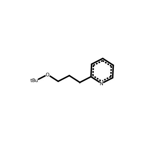 CC(C)(C)OCC[CH]c1ccccn1